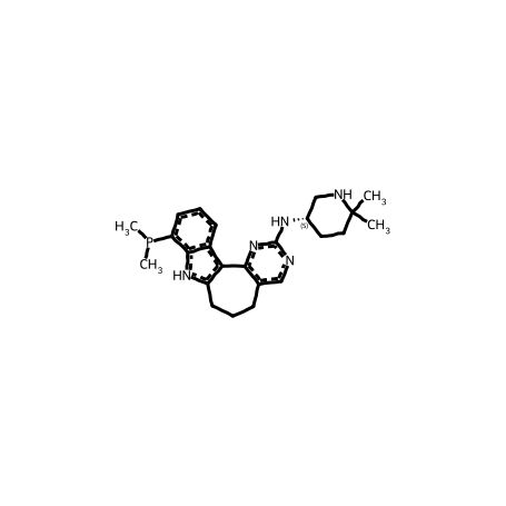 CP(C)c1cccc2c3c([nH]c12)CCCc1cnc(N[C@H]2CCC(C)(C)NC2)nc1-3